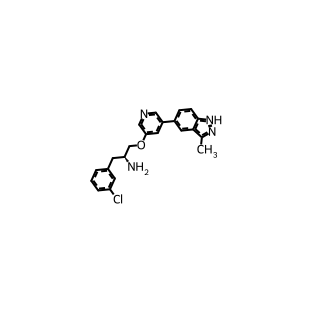 Cc1n[nH]c2ccc(-c3cncc(OC[C@@H](N)Cc4cccc(Cl)c4)c3)cc12